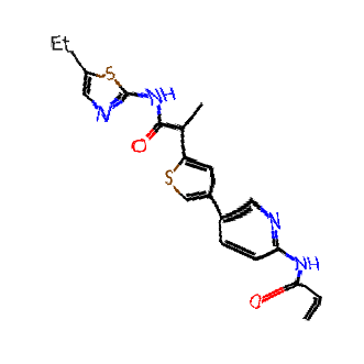 C=CC(=O)Nc1ccc(-c2csc(C(C)C(=O)Nc3ncc(CC)s3)c2)cn1